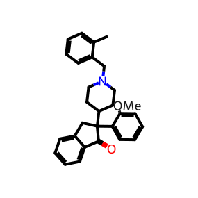 COc1ccccc1C1(C2CCN(Cc3ccccc3C)CC2)Cc2ccccc2C1=O